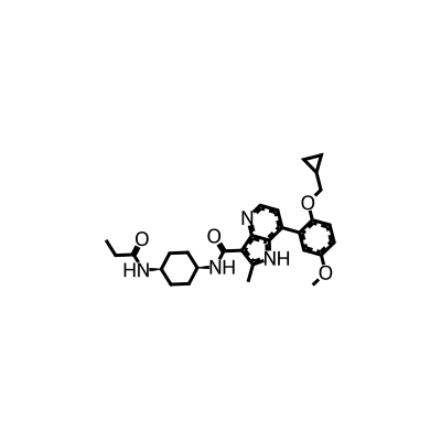 CCC(=O)N[C@H]1CC[C@@H](NC(=O)c2c(C)[nH]c3c(-c4cc(OC)ccc4OCC4CC4)ccnc23)CC1